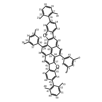 Cc1cc(C)cc(-c2cc3cc4c5ccc(-c6c(C)cccc6C)cc5oc4c4c(-c5cc(C)cc(C)c5)cc5cc6c7ccc(-c8c(C)cccc8C)cc7oc6c2c5c34)c1